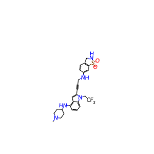 CN1CCC(Nc2cccc3c2cc(C#CCNc2ccc4c(c2)S(=O)(=O)NC4)n3CC(F)(F)F)CC1